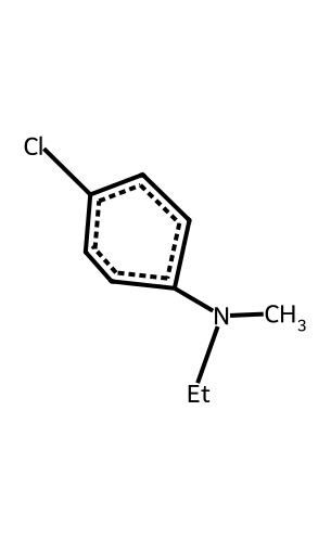 CCN(C)c1ccc(Cl)cc1